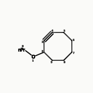 CCCOC1C#CCCCCC1